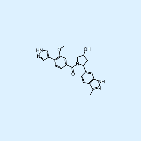 COc1cc(C(=O)N2CC(O)CC2c2ccc3c(C)n[nH]c3c2)ccc1-c1cn[nH]c1